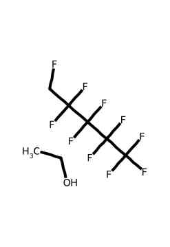 CCO.FCC(F)(F)C(F)(F)C(F)(F)C(F)(F)F